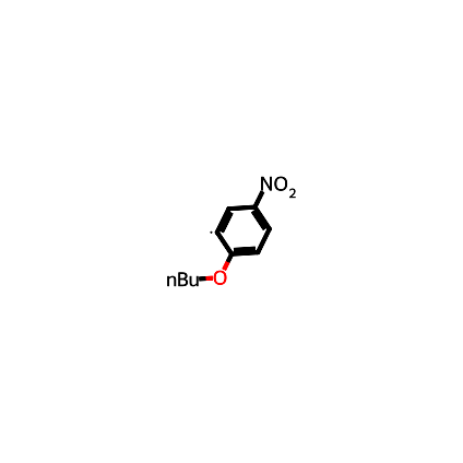 CCCCOc1[c]cc([N+](=O)[O-])cc1